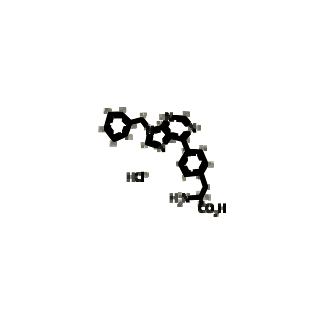 Cl.N[C@@H](Cc1ccc(-c2ncnc3c2ncn3Cc2ccccc2)cc1)C(=O)O